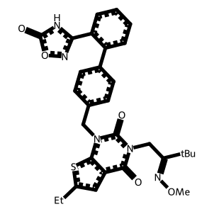 CCc1cc2c(=O)n(CC(=NOC)C(C)(C)C)c(=O)n(Cc3ccc(-c4ccccc4-c4noc(=O)[nH]4)cc3)c2s1